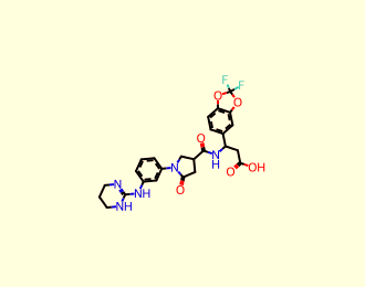 O=C(O)CC(NC(=O)C1CC(=O)N(c2cccc(NC3=NCCCN3)c2)C1)c1ccc2c(c1)OC(F)(F)O2